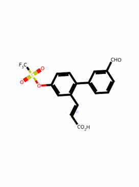 O=Cc1cccc(-c2ccc(OS(=O)(=O)C(F)(F)F)cc2/C=C/C(=O)O)c1